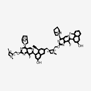 C#Cc1cc(C[C@@H]2CN(C)[C@@H]2COc2nc(N3CC4CCC(C3)N4)c3cnc(-c4cc(O)cc5cccc(F)c45)c(F)c3n2)cc2cc(O)cc(-c3ncc4c(N5CC6CCC(C5)N6)nc(OC[C@@H]5[C@H](C)CN5C)nc4c3F)c12